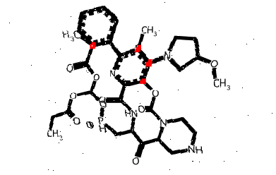 CCCCOC(=O)N1CCNCC1C(=O)C(C[PH](=O)OC(OC(=O)CC)OC(=O)CC)NC(=O)c1cc(N2CCC(OC)C2)nc(-c2ccccc2)n1